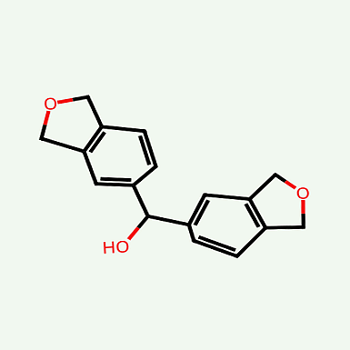 OC(c1ccc2c(c1)COC2)c1ccc2c(c1)COC2